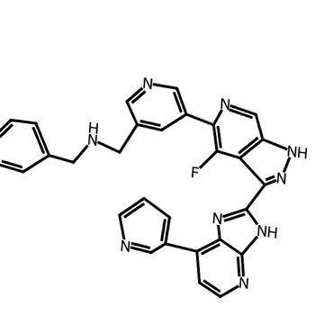 Fc1c(-c2cncc(CNCc3ccccc3)c2)ncc2[nH]nc(-c3nc4c(-c5cccnc5)ccnc4[nH]3)c12